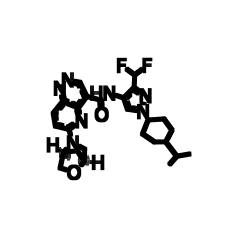 CC(C)C1CCC(n2cc(NC(=O)c3cnnc4ccc(N5C[C@@H]6C[C@H]5CO6)nc34)c(C(F)F)n2)CC1